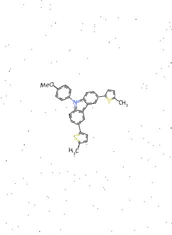 COc1ccc(-n2c3ccc(-c4ccc(C)s4)cc3c3cc(-c4ccc(C)s4)ccc32)cc1